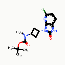 CN(C(=O)OC(C)(C)C)[C@H]1C[C@H](n2c(=O)[nH]c3ccc(Cl)nc32)C1